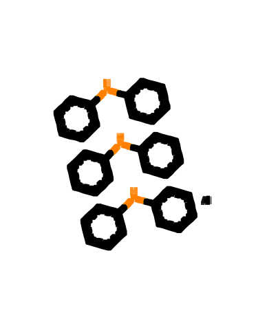 [Al].c1ccc(Pc2ccccc2)cc1.c1ccc(Pc2ccccc2)cc1.c1ccc(Pc2ccccc2)cc1